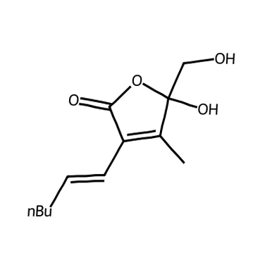 CCCC/C=C/C1=C(C)C(O)(CO)OC1=O